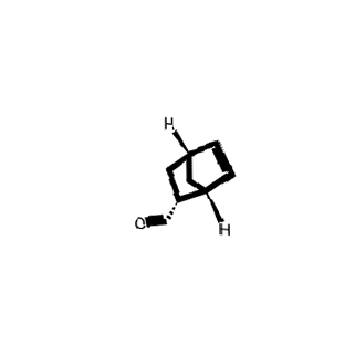 O=C[C@@H]1C[C@@H]2C=C[C@H]1C2